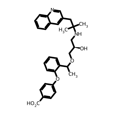 CC(OC[C@H](O)CNC(C)(C)Cc1cnc2ccccc2c1)c1ccccc1Oc1ccc(C(=O)O)cc1